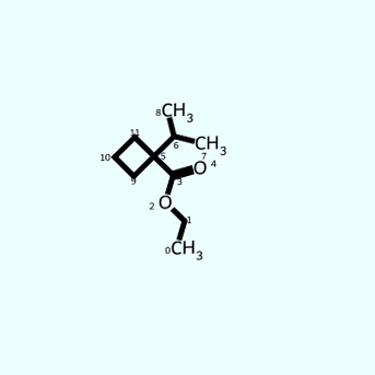 CCOC(=O)C1(C(C)C)CCC1